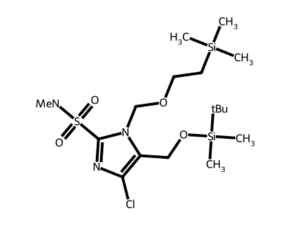 CNS(=O)(=O)c1nc(Cl)c(CO[Si](C)(C)C(C)(C)C)n1COCC[Si](C)(C)C